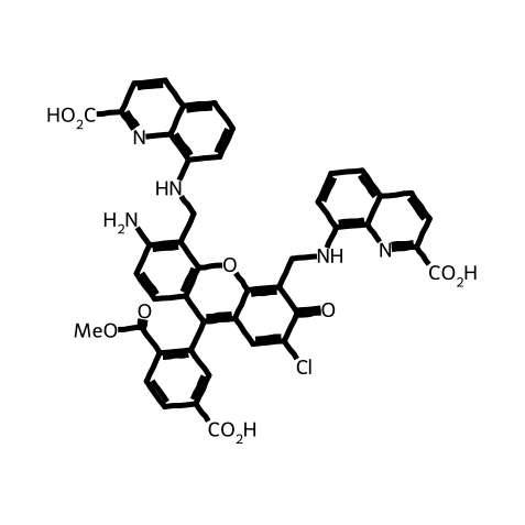 COC(=O)c1ccc(C(=O)O)cc1-c1c2cc(Cl)c(=O)c(CNc3cccc4ccc(C(=O)O)nc34)c-2oc2c(CNc3cccc4ccc(C(=O)O)nc34)c(N)ccc12